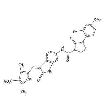 COc1ccc(N2CCN(C(=O)Nc3ccc4c(c3)NC(=O)/C4=C\c3[nH]c(C)c(C(=O)O)c3C)C2=O)c(F)c1